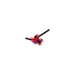 CCCCCCCCCCCCCCCC(=O)Oc1c(OC)c(C)cc2c1[C@@H]1C3[C@@H]4SC[C@]5(NCCc6cc(OC(=O)CCCCCCC)c(OC)cc65)C(=O)OC[C@@H](c5c6c(c(C)c(OC(C)=O)c54)OCO6)N3[C@@H](C#N)[C@@H](C2)N1C